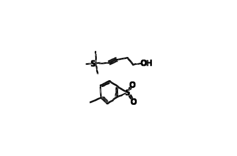 C[Si](C)(C)C#CCCO.Cc1ccc2c(c1)S2(=O)=O